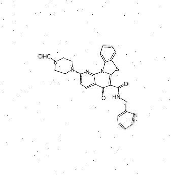 O=CN1CCN(c2ccc3c(=O)c(C(=O)NCc4ccccn4)c4sc5ccccc5n4c3n2)CC1